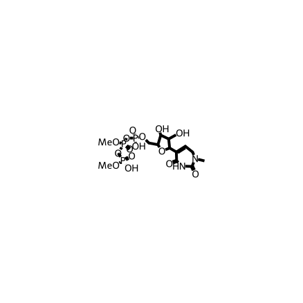 COP(=O)(O)OP(=O)(OC)OP(=O)(O)OCC1OC(C2=CCN(C)C(=O)NC2=O)C(O)C1O